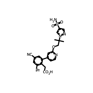 CC(C)c1cc(C#N)cc(-c2ccnc(OCC(C)(C)n3cc(S(N)(=O)=O)cn3)c2)c1CC(=O)O